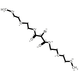 COCCOCCOC(=O)C(Br)C(=O)OCCOCCOC